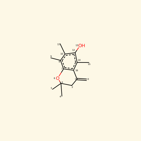 C=C1CC(C)(C)Oc2c(C)c(C)c(O)c(C)c21